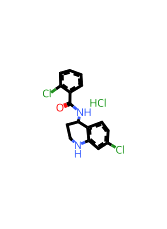 Cl.O=C(NC1CCNc2cc(Cl)ccc21)c1ccccc1Cl